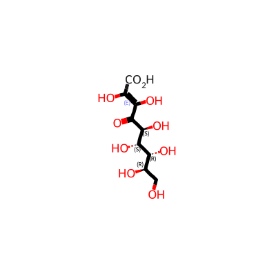 O=C(O)/C(O)=C(\O)C(=O)[C@@H](O)[C@@H](O)[C@H](O)[C@H](O)CO